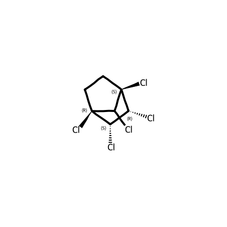 ClC1[C@]2(Cl)CC[C@@]1(Cl)[C@@H](Cl)[C@H]2Cl